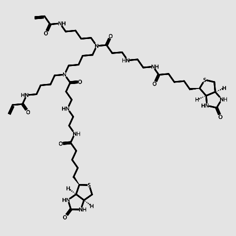 C=CC(=O)NCCCCN(CCCCN(CCCCNC(=O)C=C)C(=O)CCNCCNC(=O)CCCC[C@H]1SC[C@H]2NC(=O)N[C@H]21)C(=O)CCNCCNC(=O)CCCC[C@H]1SC[C@H]2NC(=O)N[C@H]21